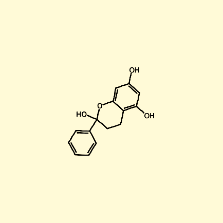 Oc1cc(O)c2c(c1)OC(O)(c1ccccc1)CC2